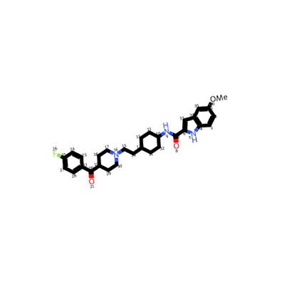 COc1ccc2[nH]c(C(=O)NC3CCC(CCN4CCC(C(=O)c5ccc(F)cc5)CC4)CC3)cc2c1